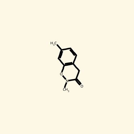 Cc1ccc2c(c1)ON(C)C(=O)C2